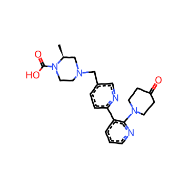 C[C@H]1CN(Cc2ccc(-c3cccnc3N3CCC(=O)CC3)nc2)CCN1C(=O)O